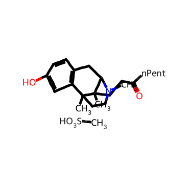 CCCCCC(=O)CCC1(C)C2Cc3ccc(O)cc3C1(C)CCN2C.CS(=O)(=O)O